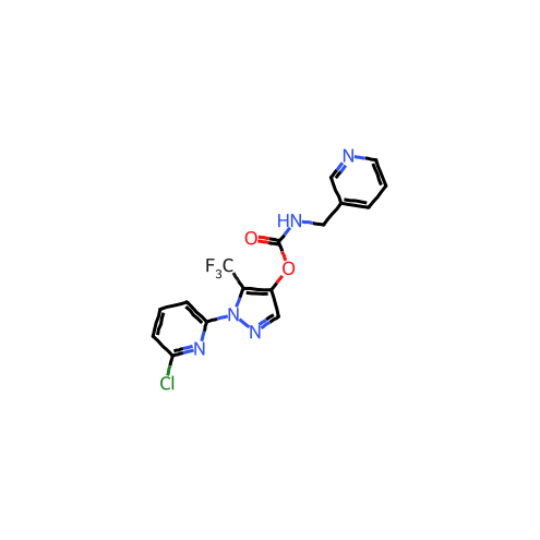 O=C(NCc1cccnc1)Oc1cnn(-c2cccc(Cl)n2)c1C(F)(F)F